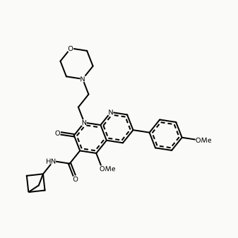 COc1ccc(-c2cnc3c(c2)c(OC)c(C(=O)NC24CC(C2)C4)c(=O)n3CCN2CCOCC2)cc1